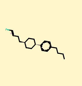 CCCCc1ccc([C@H]2CC[C@H](CC/C=C/F)CC2)cc1